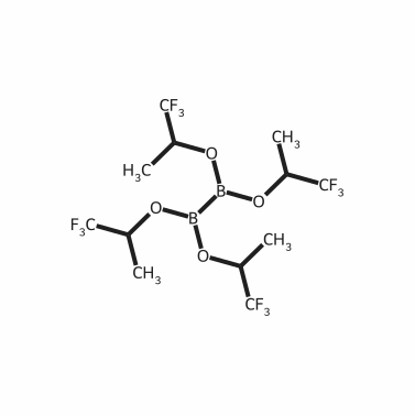 CC(OB(OC(C)C(F)(F)F)B(OC(C)C(F)(F)F)OC(C)C(F)(F)F)C(F)(F)F